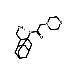 CCC1C2CC3CC(C2)CC1(OC(=O)CN1CCSCC1)C3